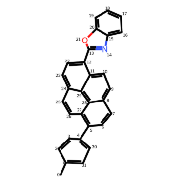 Cc1ccc(-c2ccc3ccc4c(-c5nc6ccccc6o5)ccc5ccc2c3c54)cc1